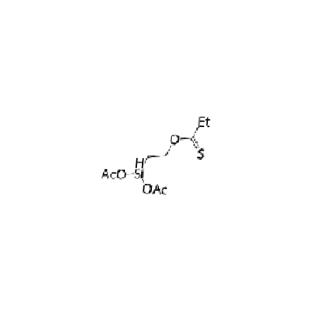 CCC(=S)OCC[SiH](OC(C)=O)OC(C)=O